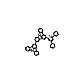 c1ccc(-c2cc(-c3ccccc3)nc(-c3cc4c5ccccc5n5c6ccc(-c7cc8c9ccccc9n9c%10ccccc%10c(c7)c89)cc6c(c3)c45)c2)cc1